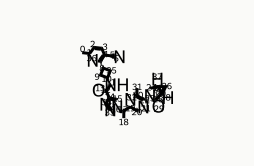 Cc1ccc(C#N)c([C@H]2C[C@@H](NC(=O)c3cn(C(C)c4cnc(N5C[C@H]6C[C@H]6C5=O)c(C)n4)nn3)C2)n1